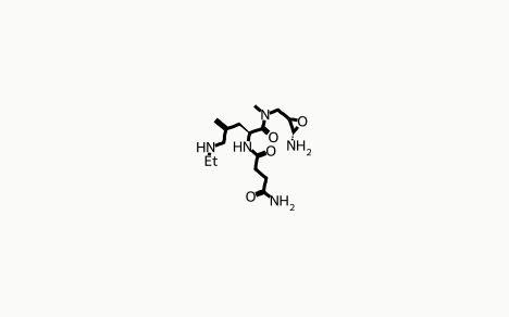 C=C(CNCC)C[C@H](NC(=O)CCC(N)=O)C(=O)N(C)CC1O[C@@H]1N